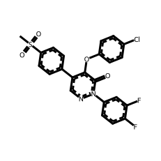 CS(=O)(=O)c1ccc(-c2cnn(-c3ccc(F)c(F)c3)c(=O)c2Oc2ccc(Cl)cc2)cc1